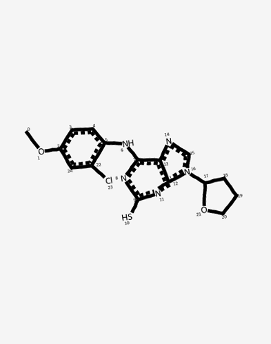 COc1ccc(Nc2nc(S)nc3c2ncn3C2CCCO2)c(Cl)c1